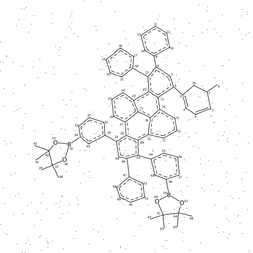 CC1C=CC=C(c2cc(-c3ccccc3)c(-c3ccccc3)c3c4cccc5c6c(-c7cccc(B8OC(C)(C)C(C)(C)O8)c7)cc(-c7ccccc7)c(-c7cccc(B8OC(C)(C)C(C)(C)O8)c7)c6c6cccc(c23)c6c54)C1